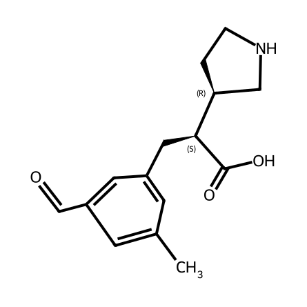 Cc1cc(C=O)cc(C[C@H](C(=O)O)[C@H]2CCNC2)c1